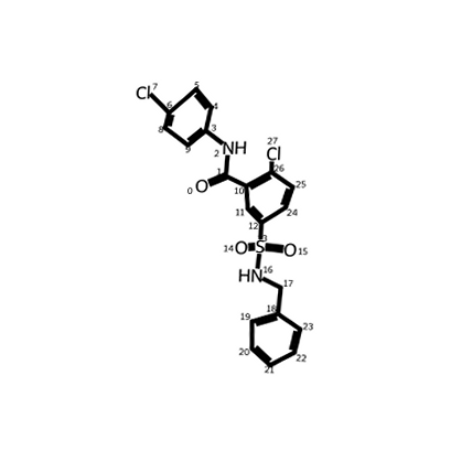 O=C(Nc1ccc(Cl)cc1)c1cc(S(=O)(=O)NCc2ccccc2)ccc1Cl